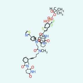 CN(CCCC#Cc1cccc2c1CN(C1CCC(=O)NC1=O)C2=O)C(=O)CCN(C(=O)[C@@H]1CCCN1C(=O)C(NC(=O)c1cc2cc(C(F)(F)P(=O)(O)OCOC(=O)C(C)(C)C)ccc2s1)C(C)(C)C)c1ccc(-c2nccs2)cc1